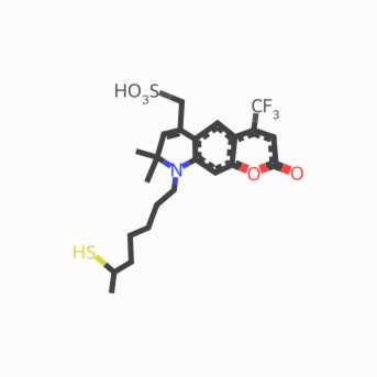 CC(S)CCCCCN1c2cc3oc(=O)cc(C(F)(F)F)c3cc2C(CS(=O)(=O)O)=CC1(C)C